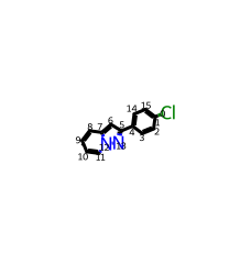 Clc1ccc(-c2cc3c[c]ccn3n2)cc1